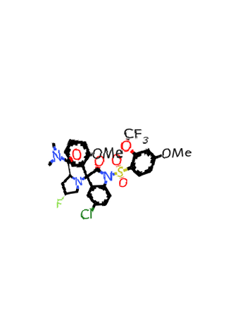 COc1ccc(S(=O)(=O)N2C(=O)C(c3ccccc3OC)(N3C[C@H](F)C[C@H]3C(=O)N(C)C)c3cc(Cl)ccc32)c(OC(F)(F)F)c1